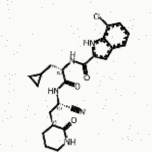 N#C[C@H](C[C@@H]1CCCNC1=O)NC(=O)[C@H](CC1CC1)NC(=O)c1cc2cccc(Cl)c2[nH]1